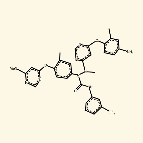 CNc1cc(Oc2ccc(N(C(=O)Nc3cccc(C(F)(F)F)c3)N(C)c3cc(Oc4ccc(N)cc4C)ncn3)cc2C)ncn1